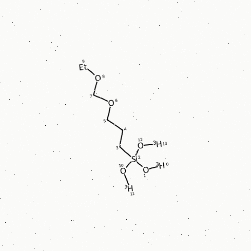 [3H]O[Si](CCCOCOCC)(O[3H])O[3H]